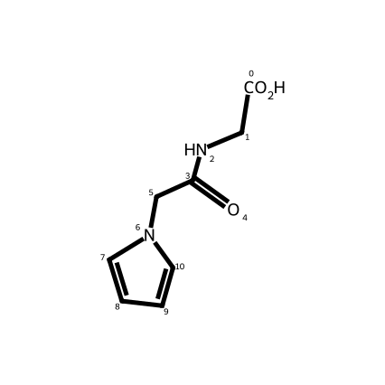 O=C(O)CNC(=O)Cn1cccc1